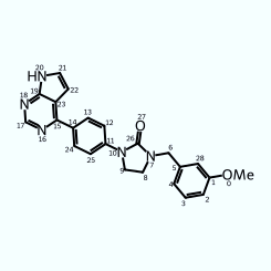 COc1cccc(CN2CCN(c3ccc(-c4ncnc5[nH]ccc45)cc3)C2=O)c1